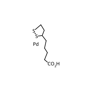 O=C(O)CCCCC1CCSS1.[Pd]